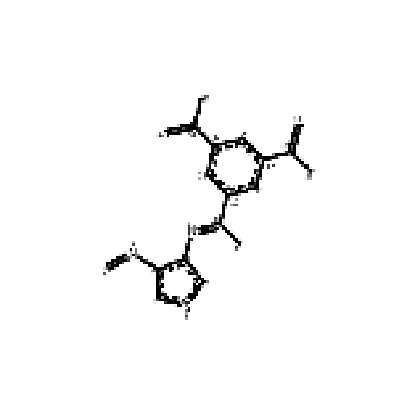 C=Nc1cscc1/N=C(\C)c1cc(C(=C)C)cc(C(=C)C)c1